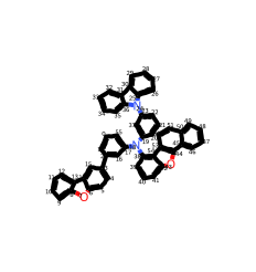 c1cc(-c2ccc3oc4ccccc4c3c2)cc(N(c2cccc(-n3c4ccccc4c4ccccc43)c2)c2cccc3oc4c5ccccc5ccc4c23)c1